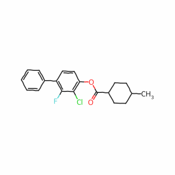 CC1CCC(C(=O)Oc2ccc(-c3ccccc3)c(F)c2Cl)CC1